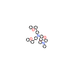 c1ccc(N(c2ccccc2)c2cccc3c2-c2cccc4c(N(c5ccc(-c6cccc7c6oc6ccccc67)cc5)c5ccc(-c6cccc7c6oc6ccccc67)cc5)ccc(c24)O3)cc1